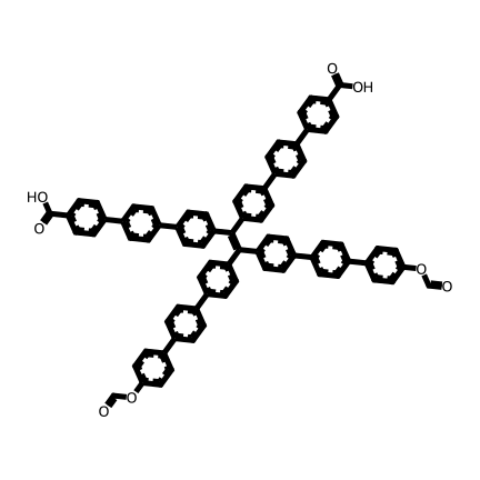 O=COc1ccc(-c2ccc(-c3ccc(C(=C(c4ccc(-c5ccc(-c6ccc(C(=O)O)cc6)cc5)cc4)c4ccc(-c5ccc(-c6ccc(C(=O)O)cc6)cc5)cc4)c4ccc(-c5ccc(-c6ccc(OC=O)cc6)cc5)cc4)cc3)cc2)cc1